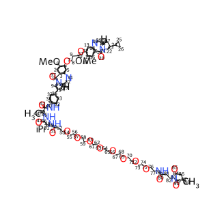 COc1cc2c(cc1OCCCOc1cc3c(cc1OC)C(=O)N1C=C(C4CC4)C[C@H]1C=N3)N=C[C@@H]1CC(c3ccc(NC(=O)[C@H](C)NC(=O)C(NC(=O)CCOCCOCCOCCOCCOCCOCCOCCOCCNC(=O)CCN4C(=O)CC(C)C4=O)C(C)C)cc3)=CN1C2=O